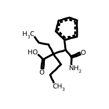 CCCC(CCC)(C(=O)O)C(C(N)=O)c1ccccc1